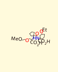 CCO[C@H]1CCC[C@](NC(=O)C2(CC(COCCOC)C(=O)O)CCCC2)(C(=O)O)C1